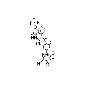 N#Cc1nn(-c2cc(Cl)c(Oc3n[nH]c(=O)c4c3CCC[C@H]4OC(F)(F)F)c(Cl)c2)c(=O)[nH]c1=O